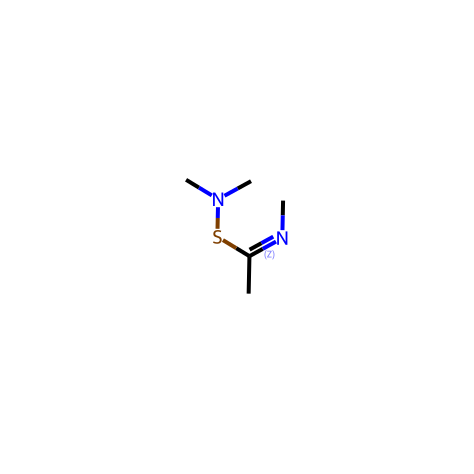 C/N=C(/C)SN(C)C